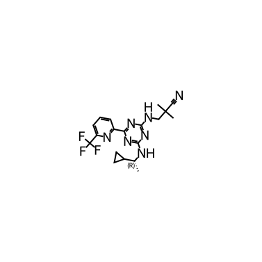 C[C@@H](Nc1nc(NCC(C)(C)C#N)nc(-c2cccc(C(F)(F)F)n2)n1)C1CC1